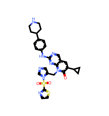 O=c1c(C2CC2)cc2cnc(Nc3ccc(C4CCNCC4)cc3)nc2n1Cc1cncn1S(=O)(=O)c1nccs1